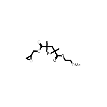 CCC(C)(CC(C)(C)C(=O)OCC1CO1)C(=O)OCCOC